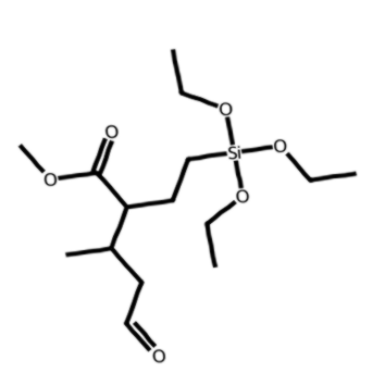 CCO[Si](CCC(C(=O)OC)C(C)CC=O)(OCC)OCC